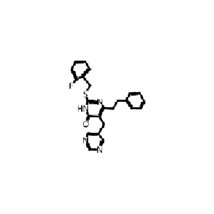 O=c1[nH]c(SCc2ccccc2F)nc(CCc2ccccc2)c1Cc1cncnc1